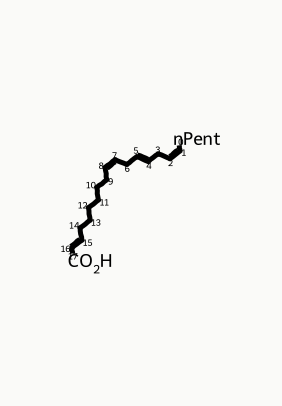 CCCCC/C=C\C/C=C/C/C=C\CCCCCCC=CC(=O)O